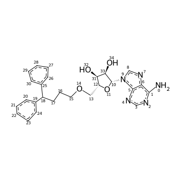 Nc1ncnc2c1ncn2[C@@H]1O[C@H](COCCCC(c2ccccc2)c2ccccc2)[C@@H](O)[C@H]1O